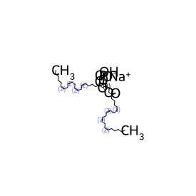 CCCCC/C=C\C/C=C\C/C=C\C/C=C\CCCC(=O)OC[C@H](COP(=O)([O-])O)OC(=O)CCC/C=C\C/C=C\C/C=C\C/C=C\CCCCC.[Na+]